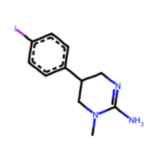 CN1CC(c2ccc(I)cc2)CN=C1N